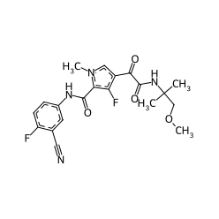 COCC(C)(C)NC(=O)C(=O)c1cn(C)c(C(=O)Nc2ccc(F)c(C#N)c2)c1F